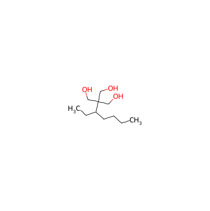 CCCCC(CC)C(CO)(CO)CO